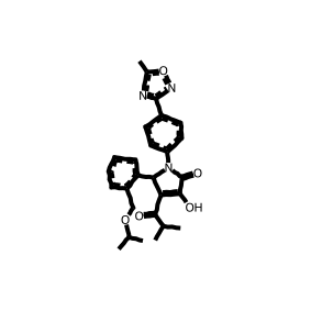 Cc1nc(-c2ccc(N3C(=O)C(O)=C(C(=O)C(C)C)C3c3ccccc3COC(C)C)cc2)no1